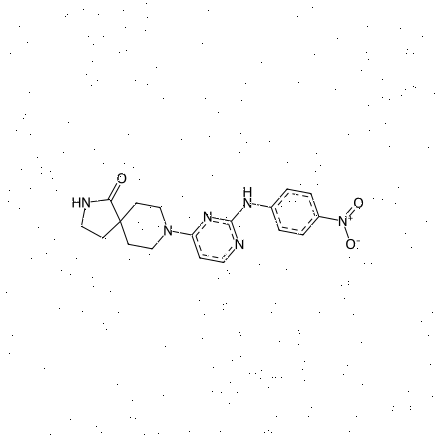 O=C1NCCC12CCN(c1ccnc(Nc3ccc([N+](=O)[O-])cc3)n1)CC2